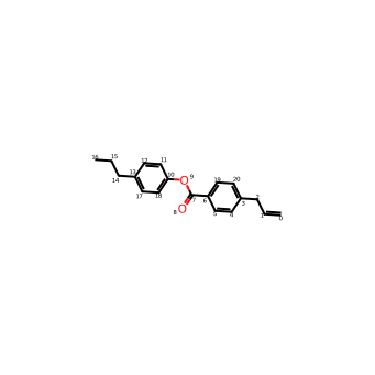 C=CCc1ccc(C(=O)Oc2ccc(CCC)cc2)cc1